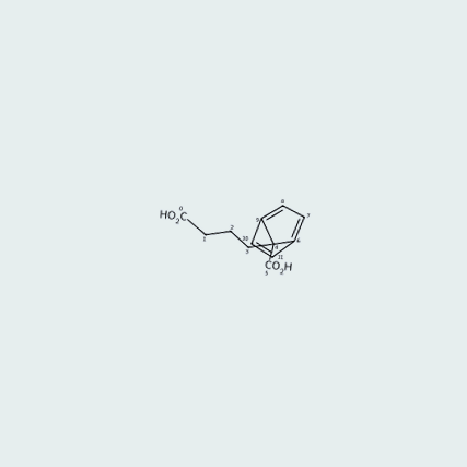 O=C(O)CCCC1(C(=O)O)C2=CC=C1C=C2